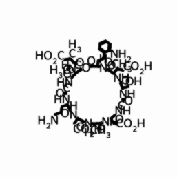 CC(CC(=O)O)C(=O)N(C)C1C(=O)NCC(=O)NC(CCCN)C(=O)NC(CC(=O)O)C(=O)NC(C)C(=O)NC(CC(=O)O)C(=O)NCC(=O)NC(CO)C(=O)NC(C(C)CC(=O)O)C(=O)NC(CC(=O)c2ccccc2N)C(=O)OC1C